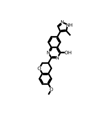 COc1ccc2c(c1)CC(c1nc(O)c3cc(-c4cn[nH]c4C)ccc3n1)CO2